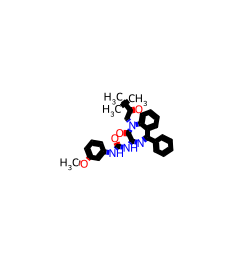 COc1cccc(NC(=O)NC2N=C(c3ccccc3)c3ccccc3N(CC(=O)C(C)(C)C)C2=O)c1